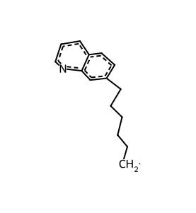 [CH2]CCCCCc1ccc2cccnc2c1